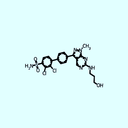 Cn1nc(-c2ccc(-c3ccc(S(N)(=O)=O)c(Cl)c3Cl)cc2)c2cnc(NCCCO)nc21